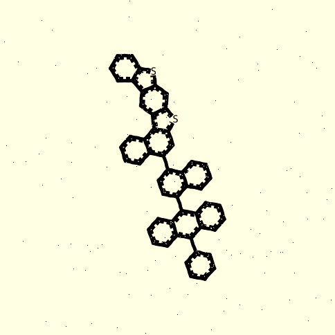 c1ccc(-c2c3ccccc3c(-c3ccc(-c4cc5sc6cc7sc8ccccc8c7cc6c5c5ccccc45)c4ccccc34)c3ccccc23)cc1